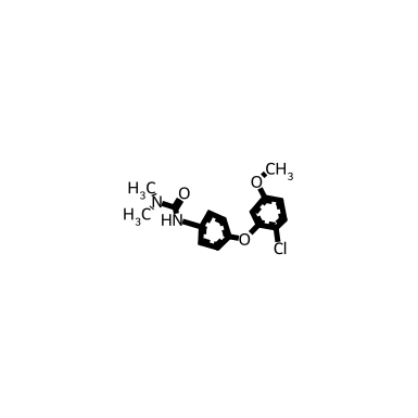 COc1ccc(Cl)c(Oc2ccc(NC(=O)N(C)C)cc2)c1